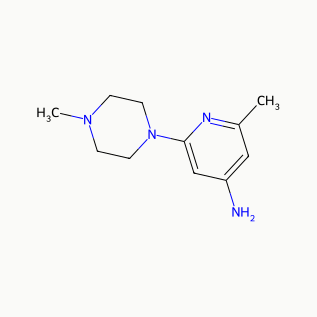 Cc1cc(N)cc(N2CCN(C)CC2)n1